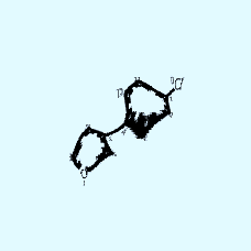 Clc1ccc(-c2[c]occ2)cc1